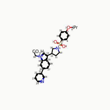 CC(C)Oc1ccc(S(=O)(=O)N2CCC(c3cn(CC(=O)O)c4cc(-c5cccnc5)ccc34)C2)cc1